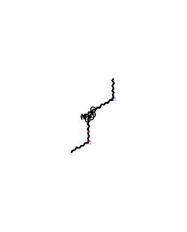 CCCCCCCC/C=C\CCCCCCCCOC(=O)CC(CN(C)C)C(=O)OCCCCCCCC/C=C\CCCCCCCC